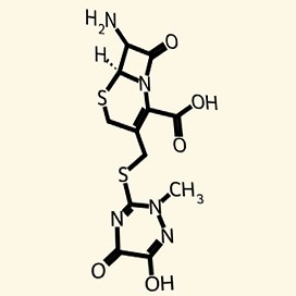 Cn1nc(O)c(=O)nc1SCC1=C(C(=O)O)N2C(=O)C(N)[C@@H]2SC1